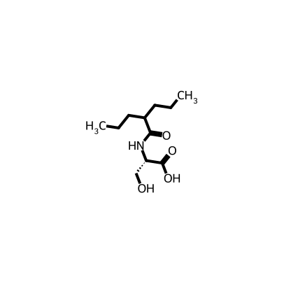 CCCC(CCC)C(=O)N[C@@H](CO)C(=O)O